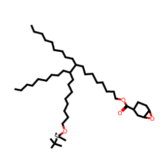 CCCCCCCCCC(CCCCCCCCOC(=O)C1CCC2OC2C1)C(CCCCCCCCC)CCCCCCCCO[Si](C)(C)C(C)(C)C